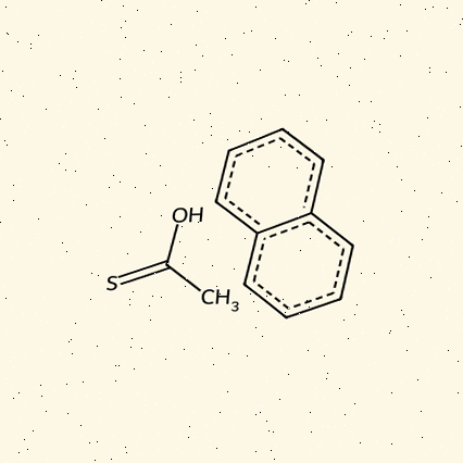 CC(O)=S.c1ccc2ccccc2c1